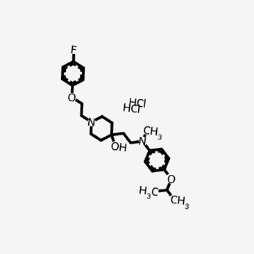 CC(C)Oc1ccc(N(C)CCC2(O)CCN(CCOc3ccc(F)cc3)CC2)cc1.Cl.Cl